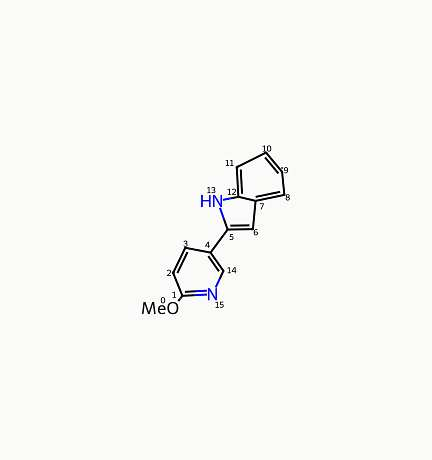 COc1ccc(-c2cc3c[c]ccc3[nH]2)cn1